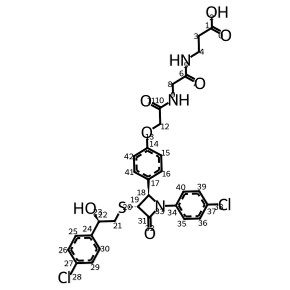 O=C(O)CCNC(=O)CNC(=O)COc1ccc([C@@H]2[C@@H](SC[C@H](O)c3ccc(Cl)cc3)C(=O)N2c2ccc(Cl)cc2)cc1